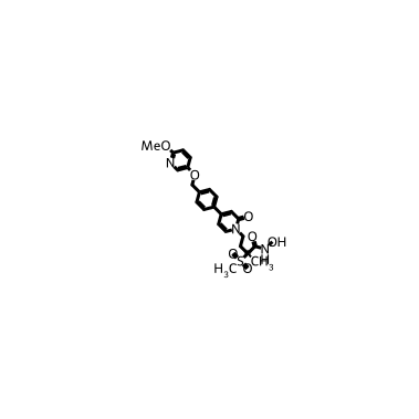 COc1ccc(OCc2ccc(-c3ccn(CC[C@](C)(C(=O)NO)S(C)(=O)=O)c(=O)c3)cc2)cn1